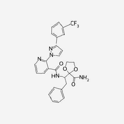 NC(=O)C1(C(Cc2ccccc2)NC(=O)c2cccnc2-n2ccc(-c3cccc(C(F)(F)F)c3)n2)OCCO1